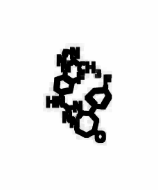 Cc1ncnn1-c1ccc(Nc2nc3n(n2)CCC(=O)CC3c2ccc(F)cc2)cc1F